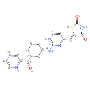 O=C1NC(=O)/C(=C/c2ccnc(NC3CCCN(C(=O)c4cnccn4)C3)n2)S1